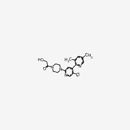 Cc1cnc(-c2cc(N3CCN(C(=O)CO)CC3)ncc2Cl)c(C)c1